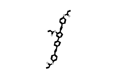 C=CC(=O)Oc1ccc(C#Cc2ccc(-c3ccc(C#Cc4ccc(OC(=O)C=C)cc4)c(OC(=O)C=C)c3)cc2)cc1